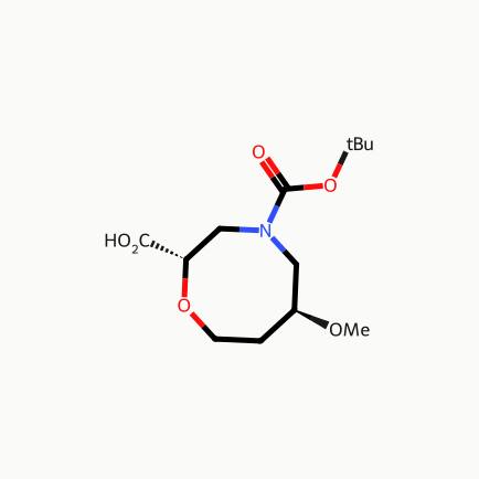 CO[C@H]1CCO[C@H](C(=O)O)CN(C(=O)OC(C)(C)C)C1